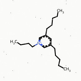 CCCCCc1cc(CCCCC)c[n+](CCCC)c1